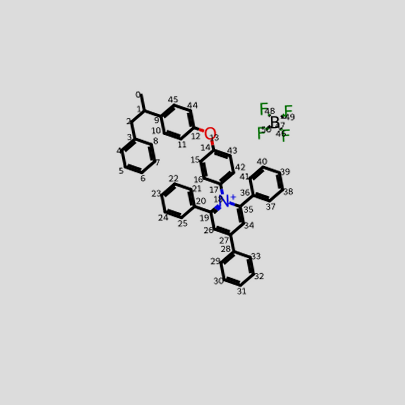 CC(Cc1ccccc1)c1ccc(Oc2ccc(-[n+]3c(-c4ccccc4)cc(-c4ccccc4)cc3-c3ccccc3)cc2)cc1.F[B-](F)(F)F